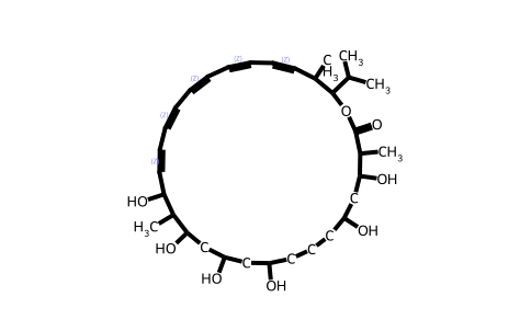 CC(C)C1OC(=O)C(C)C(O)CC(O)CCCC(O)CC(O)CC(O)C(C)C(O)\C=C/C=C\C=C/C=C\C=C/C1C